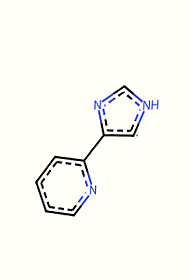 [c]1[nH]cnc1-c1ccccn1